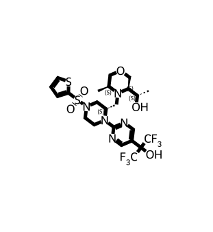 C[C@H](O)[C@@H]1COC[C@H](C)N1C[C@H]1CN(S(=O)(=O)c2cccs2)CCN1c1ncc(C(O)(C(F)(F)F)C(F)(F)F)cn1